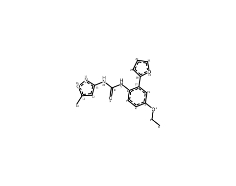 CCOc1ccc(NC(=O)Nc2cc(C)on2)c(-c2ccco2)c1